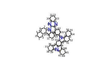 c1ccc2c(c1)ccc1c2c2ccccc2n1-c1nc2ccccc2nc1-c1ccc(-n2c3cc4c5ccccc5n5c6ccccc6c(c3c3ccc6ccccc6c32)c45)cc1